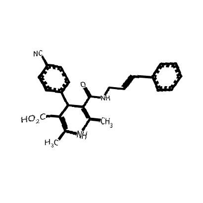 CC1=C(C(=O)O)C(c2ccc(C#N)cc2)C(C(=O)NC/C=C/c2ccccc2)=C(C)N1